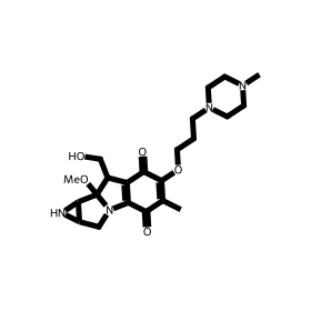 COC12C(CO)C3=C(C(=O)C(C)=C(OCCCN4CCN(C)CC4)C3=O)N1CC1NC12